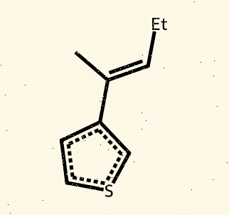 CC/C=C(\C)c1ccsc1